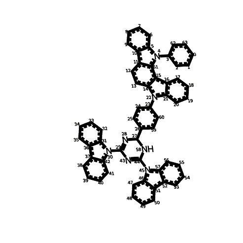 c1ccc(-n2c3ccccc3c3ccc4c(c5ccccc5n4-c4ccc(C5N=C(n6c7ccccc7c7ccccc76)N=C(n6c7ccccc7c7ccccc76)N5)cc4)c32)cc1